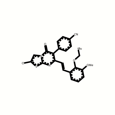 COc1cccc(C=Cc2nc3sc(Cl)cn3c(=O)c2-c2ccc(C#N)cc2)c1OCC(C)(C)C